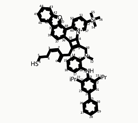 C=C(/C=C\CCS)CC1=C(CN(C)c2ccccc2Nc2c(C(C)C)cc(-c3ccccc3)cc2C(C)C)C2C1c1ccc3c(oc4ccccc43)c1-c1ccc([Si](C)(C)C)c[n+]12